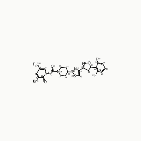 O=C(Cn1cc(C(F)(F)F)cc(Br)c1=O)N1CCC(c2nc(C3=NOC(c4c(F)cccc4F)C3)cs2)CC1